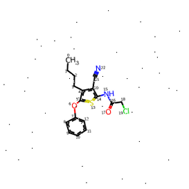 CCCCc1c(Oc2ccccc2)sc(NC(=O)CCl)c1C#N